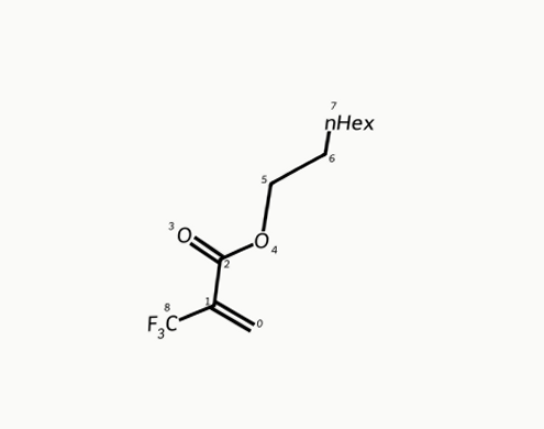 C=C(C(=O)OCCCCCCCC)C(F)(F)F